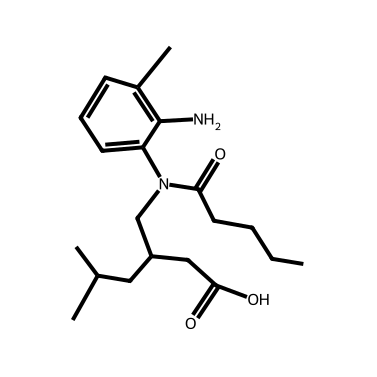 CCCCC(=O)N(CC(CC(=O)O)CC(C)C)c1cccc(C)c1N